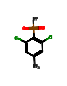 CC(C)S(=O)(=O)c1c(Cl)cc(C(F)(F)F)cc1Cl